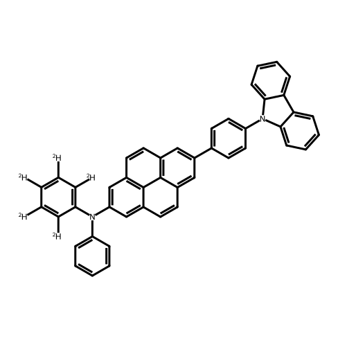 [2H]c1c([2H])c([2H])c(N(c2ccccc2)c2cc3ccc4cc(-c5ccc(-n6c7ccccc7c7ccccc76)cc5)cc5ccc(c2)c3c45)c([2H])c1[2H]